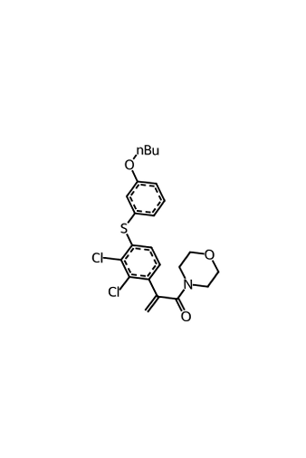 C=C(C(=O)N1CCOCC1)c1ccc(Sc2cccc(OCCCC)c2)c(Cl)c1Cl